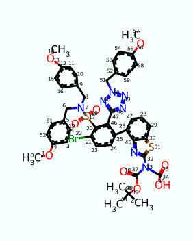 COc1ccc(CN(Cc2ccc(OC)cc2)S(=O)(=O)c2c(Br)ccc(-c3cccc4sc(N(C(=O)O)C(=O)OC(C)(C)C)nc34)c2-c2nnn(Cc3ccc(OC)cc3)n2)cc1